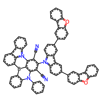 N#Cc1c2c3c(c(C#N)c1-n1c4ccc(-c5ccc6oc7ccccc7c6c5)cc4c4cc(-c5ccc6oc7ccccc7c6c5)ccc41)-n1c4ccccc4c4cccc(c41)B3c1ccccc1N2c1ccccc1